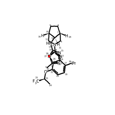 Cc1nnc(N2C[C@H]3CC[C@@H](C2)[C@@H]3Nc2nc3c(C(C)C)ccc(O[C@@H](C)C(F)(F)F)n3n2)o1